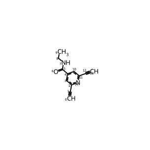 C#Cc1cc(C(=O)NCC)cc(C#C)n1